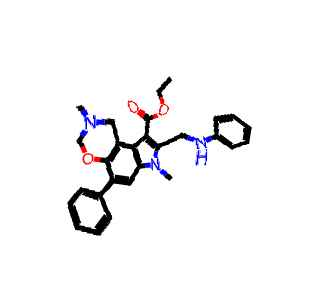 CCOC(=O)c1c(CNc2ccccc2)n(C)c2cc(-c3ccccc3)c3c(c12)CN(C)CO3